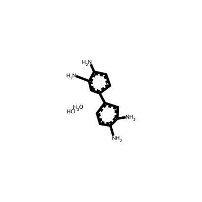 Cl.Nc1ccc(-c2ccc(N)c(N)c2)cc1N.O